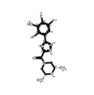 C[C@@H]1CN(C(=O)c2nc(-c3cc(F)c(F)c(O)c3F)no2)C[C@H](C)O1